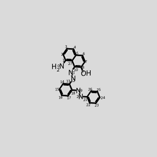 Nc1cccc2ccc(O)c(N=Nc3ccccc3N=Nc3ccccc3)c12